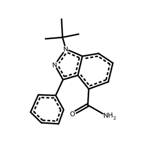 CC(C)(C)n1nc(-c2ccccc2)c2c(C(N)=O)cccc21